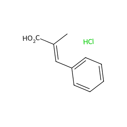 CC(=Cc1ccccc1)C(=O)O.Cl